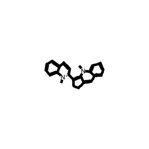 CN1C2=C(c3ccc4ccccc4[n+]3C)CCC2=Cc2ccccc21